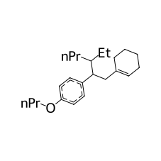 CCCOc1ccc(C(CC2=CCCCC2)C(CC)CCC)cc1